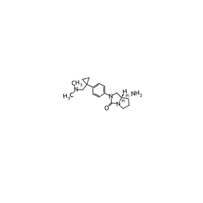 CN(C)CC1(c2ccc(N3C[C@@H]4[C@H](N)CCN4C3=O)cc2)CC1